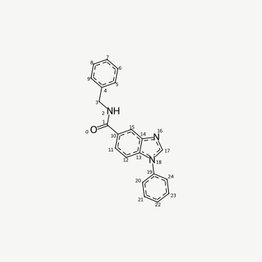 O=C(NCc1ccccc1)c1ccc2c(c1)ncn2-c1ccccc1